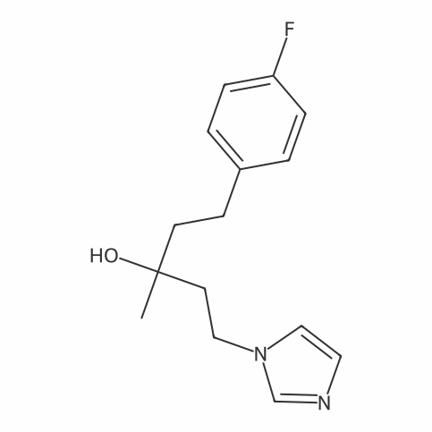 CC(O)(CCc1ccc(F)cc1)CCn1ccnc1